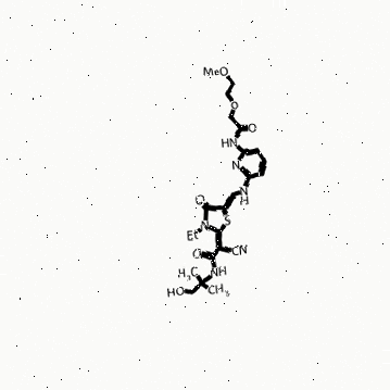 CCn1c(=C(C#N)C(=O)NC(C)(C)CO)sc(=CNc2cccc(NC(=O)COCCOC)n2)c1=O